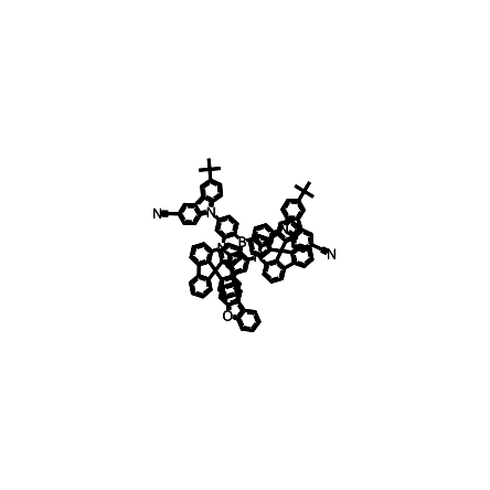 CC(C)(C)c1ccc2c(c1)c1cc(C#N)ccc1n2-c1ccc2c(c1)N(c1cccc3c1C1(c4ccccc4-c4ccccc41)c1ccccc1-3)c1cc(-c3ccc4oc5ccccc5c4c3)cc3c1B2c1ccc(-n2c4ccc(C#N)cc4c4cc(C(C)(C)C)ccc42)cc1N3c1cccc2c1C1(c3ccccc3-c3ccccc31)c1ccccc1-2